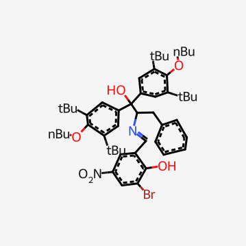 CCCCOc1c(C(C)(C)C)cc(C(O)(c2cc(C(C)(C)C)c(OCCCC)c(C(C)(C)C)c2)C(Cc2ccccc2)N=Cc2cc([N+](=O)[O-])cc(Br)c2O)cc1C(C)(C)C